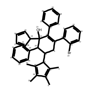 CC1=C(C)C(C2CC(c3ccccc3Br)=C(c3ccccc3)C(O)(C3C=CC=C3)C2c2ccccc2)C(C)=C1C